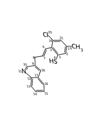 Cc1cc(S)c(C=CCc2cnc3ccccc3c2)c(Cl)c1